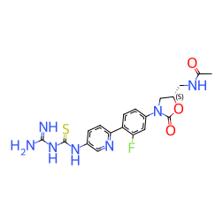 CC(=O)NC[C@H]1CN(c2ccc(-c3ccc(NC(=S)NC(=N)N)cn3)c(F)c2)C(=O)O1